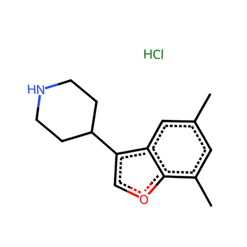 Cc1cc(C)c2occ(C3CCNCC3)c2c1.Cl